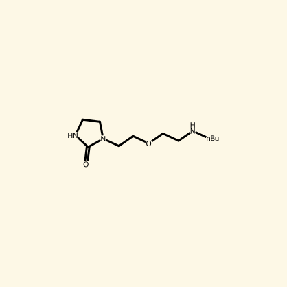 CCCCNCCOCCN1CCNC1=O